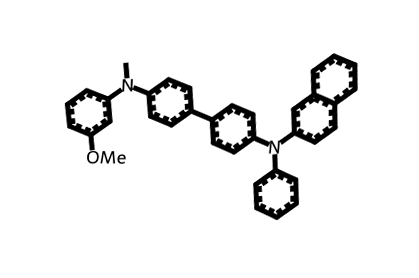 COc1cccc(N(C)c2ccc(-c3ccc(N(c4ccccc4)c4ccc5ccccc5c4)cc3)cc2)c1